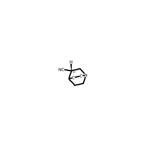 N#C[C@@H]1CN2CCC1CC2